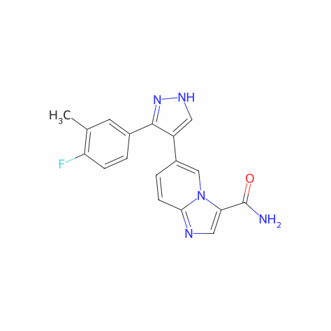 Cc1cc(-c2n[nH]cc2-c2ccc3ncc(C(N)=O)n3c2)ccc1F